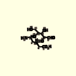 NCCNCC(=O)O.O=CC(O)C(O)C(O)CO